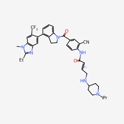 CCc1nc2cc(-c3cccc4c3CCN4C(=O)c3ccc(NC(=O)/C=C/CNC4CCN(C(C)C)CC4)c(C#N)c3)c(C(F)(F)F)cc2n1C